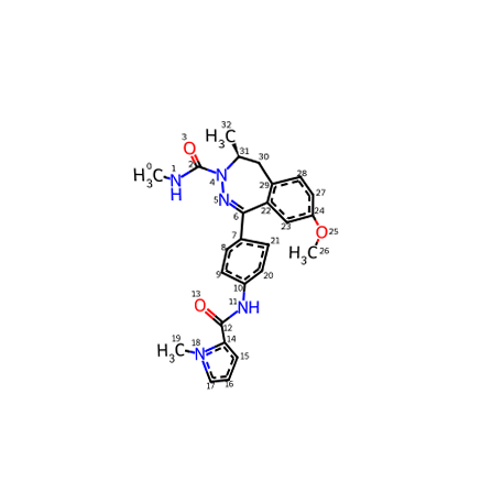 CNC(=O)N1N=C(c2ccc(NC(=O)c3cccn3C)cc2)c2cc(OC)ccc2C[C@@H]1C